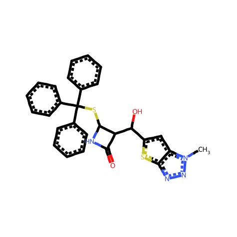 Cn1nnc2sc(C(O)C3C(=O)NC3SC(c3ccccc3)(c3ccccc3)c3ccccc3)cc21